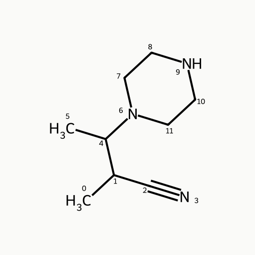 CC(C#N)C(C)N1CCNCC1